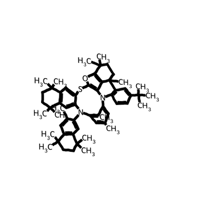 Cc1cc2c(C)c(c1)N1c3ccc(C(C)(C)C)cc3C3(C)CCC(C)(C)c4oc(c1c43)Sc1cc3c(cc1N2c1cc2c(cc1C)C(C)(C)CCC2(C)C)C(C)(C)CCC3(C)C